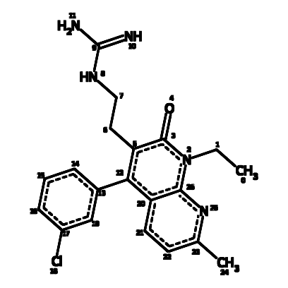 CCn1c(=O)c(CCNC(=N)N)c(-c2cccc(Cl)c2)c2ccc(C)nc21